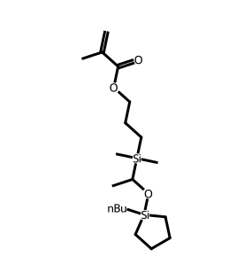 C=C(C)C(=O)OCCC[Si](C)(C)C(C)O[Si]1(CCCC)CCCC1